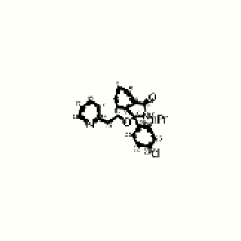 CCCN1C(=O)c2ccccc2C1(OCCc1ccccn1)c1ccc(Cl)cc1